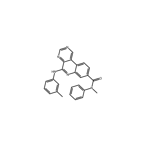 Cc1cccc(Nc2nc3cc(C(=O)N(C)c4ccccc4)ccc3c3cncnc23)c1